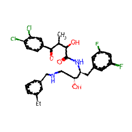 CCc1cccc(CNC[C@@H](O)[C@H](Cc2cc(F)cc(F)c2)NC(=O)C(O)C(C)C(=O)c2ccc(Cl)c(Cl)c2)c1